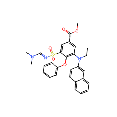 CCN(c1ccc2ccccc2c1)c1cc(C(=O)OC)cc(S(=O)(=O)N=CN(C)C)c1Oc1ccccc1